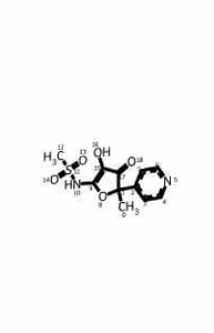 CC1(c2ccncc2)OC(NS(C)(=O)=O)=C(O)C1=O